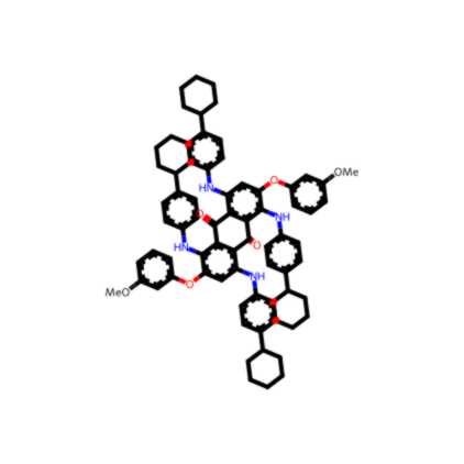 COc1cccc(Oc2cc(Nc3ccc(C4CCCCC4)cc3)c3c(c2Nc2ccc(C4CCCCC4)cc2)C(=O)c2c(Nc4ccc(C5CCCCC5)cc4)cc(Oc4cccc(OC)c4)c(Nc4ccc(C5CCCCC5)cc4)c2C3=O)c1